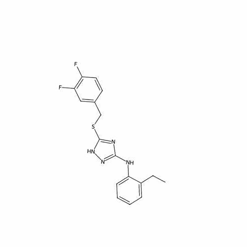 CCc1ccccc1Nc1n[nH]c(SCc2ccc(F)c(F)c2)n1